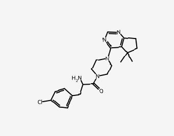 CC1(C)CCc2ncnc(N3CCN(C(=O)C(N)Cc4ccc(Cl)cc4)CC3)c21